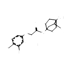 Cl.NC12CCC(NC(=O)COc3ccc(Cl)c(F)c3)(CC1)CC2O